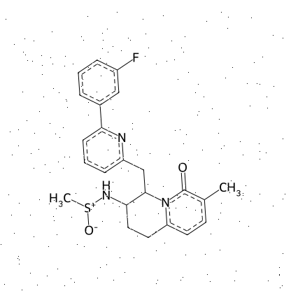 Cc1ccc2n(c1=O)C(Cc1cccc(-c3cccc(F)c3)n1)C(N[S+](C)[O-])CC2